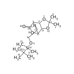 CC1(C)OC2C3N=C(CO[Si](C)(C)C(C)(C)C)C(OC3=O)C2O1